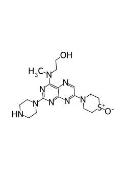 CN(CCO)c1nc(N2CCNCC2)nc2nc(N3CC[S+]([O-])CC3)cnc12